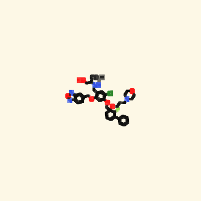 O=C(O)C(CO)NCc1cc(Cl)c(OCC2(OCCCN3CCOCC3)C=CC=C(c3ccccc3)C2F)cc1OCc1ccc2nonc2c1